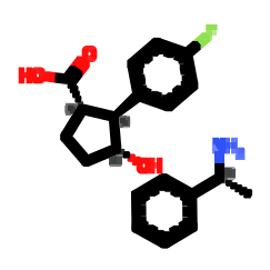 C[C@@H](N)c1ccccc1.O=C(O)[C@H]1CC[C@@H](O)[C@@H]1c1ccc(F)cc1